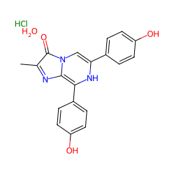 Cc1nc2c(-c3ccc(O)cc3)[nH]c(-c3ccc(O)cc3)cn-2c1=O.Cl.O